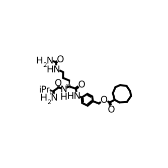 CC(C)[C@H](N)C(=O)N[C@@H](CCCNC(N)=O)C(=O)Nc1ccc(COC(=O)C2CCCCCCCC2)cc1